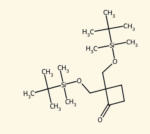 CC(C)(C)[Si](C)(C)OCC1(CO[Si](C)(C)C(C)(C)C)CCC1=O